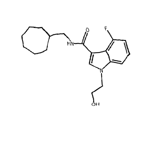 O=C(NCC1CCCCCC1)c1cn(CCO)c2cccc(F)c12